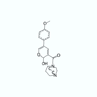 COc1ccc(C2=COC(O)C(C(=O)N3CCN4CCC3CC4)=C2)cc1